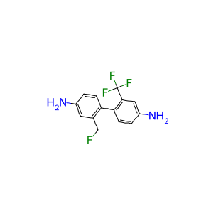 Nc1ccc(-c2ccc(N)cc2C(F)(F)F)c(CF)c1